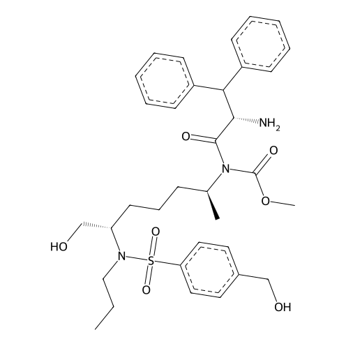 CCCN([C@H](CO)CCC[C@H](C)N(C(=O)OC)C(=O)[C@@H](N)C(c1ccccc1)c1ccccc1)S(=O)(=O)c1ccc(CO)cc1